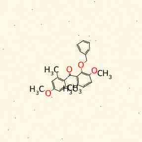 COc1cc(C)c(C(=O)c2c(C)ccc(OC)c2OCc2ccccc2)c(C)c1